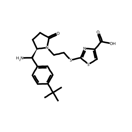 CC(C)(C)c1ccc(C(N)[C@H]2CCC(=O)N2CCSc2nc(C(=O)O)cs2)cc1